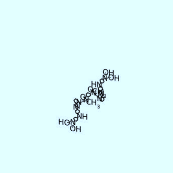 CN(CCC[n+]1ccccc1N=Nc1ccc(Nc2ccc(N(CCO)CCO)cc2)cc1)C(=O)c1ccc(C(=O)N(C)CCC[n+]2ccccc2/N=N/c2ccc(Nc3ccc(N(CCO)CCO)cc3)cc2)cc1